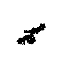 COc1ccc(S(=O)(=O)Cc2ccccc2)cc1N=Nc1c(O)c(C(=O)Nc2ccccc2)cc2ccccc12